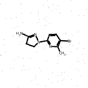 Cc1nc(N2CCC(N)=N2)ccc1Br